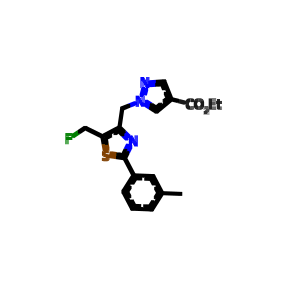 CCOC(=O)c1cnn(Cc2nc(-c3cccc(C)c3)sc2CF)c1